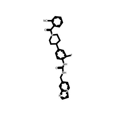 N#Cc1ccccc1C(=O)N1CCC(c2ccc(NC(=O)NCc3ccn4ccnc4c3)c(F)c2)CC1